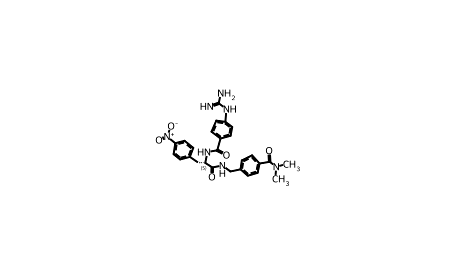 CN(C)C(=O)c1ccc(CNC(=O)[C@H](Cc2ccc([N+](=O)[O-])cc2)NC(=O)c2ccc(NC(=N)N)cc2)cc1